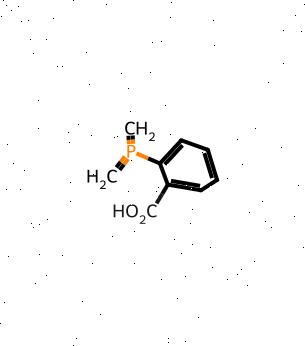 C=P(=C)c1ccccc1C(=O)O